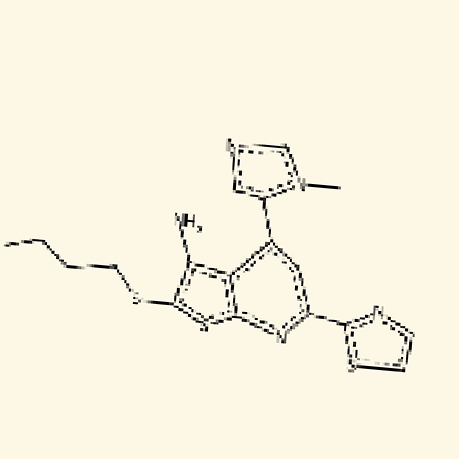 CCCCSc1sc2nc(-c3nccs3)cc(-c3cncn3C)c2c1N